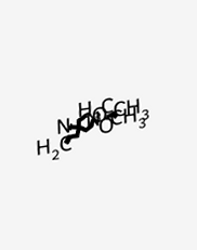 C=CCC1(C#N)CCN(OC(=O)C(C)(C)C)CC1